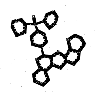 O=P(c1ccccc1)(c1ccccc1)c1ccc(-c2nc3ccccc3c3cc4ccc5cccnc5c4nc23)cc1